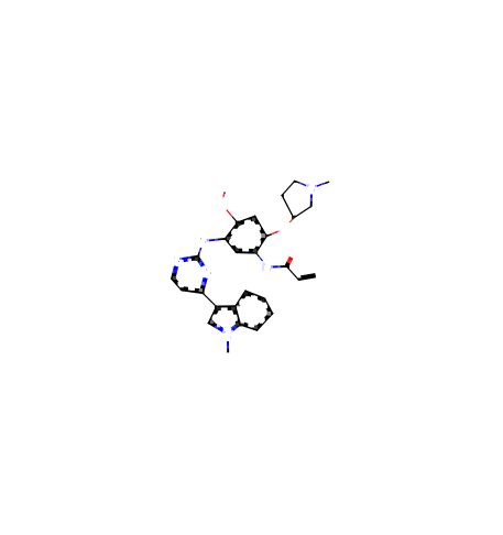 C=CC(=O)Nc1cc(Nc2nccc(-c3cn(C)c4ccccc34)n2)c(OC)cc1OC1CCN(C)C1